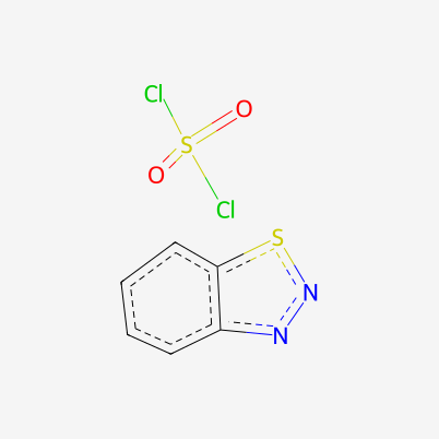 O=S(=O)(Cl)Cl.c1ccc2snnc2c1